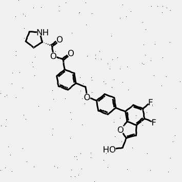 O=C(OC(=O)[C@@H]1CCCN1)c1cccc(COc2ccc(-c3cc(F)c(F)c4cc(CO)oc34)cc2)c1